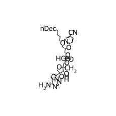 CCCCCCCCCCCCCCOC[C@H](COP(=O)(O)OC[C@@]1(C)OC[C@](O)(c2ccc3c(N)ncnn23)[C@@H]1O)Oc1ccc(C#N)cn1